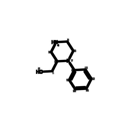 OCC1CNCCN1c1ccccc1